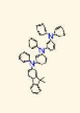 CC1(C)c2ccccc2-c2ccc(N(c3ccccc3)c3cccc(N(c4ccccc4)c4cccc(N(c5ccccc5)c5ccccc5)c4)c3)cc21